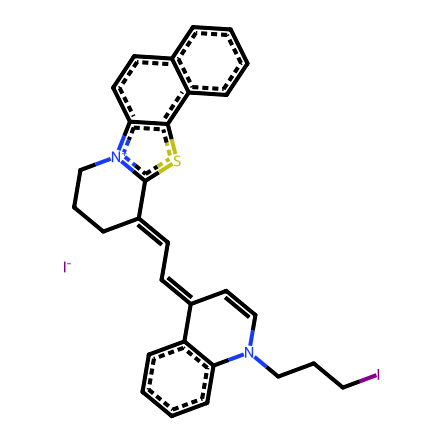 ICCCN1C=CC(=CC=C2CCC[n+]3c2sc2c4ccccc4ccc23)c2ccccc21.[I-]